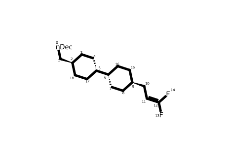 CCCCCCCCCCC[C@H]1CC[C@H]([C@H]2CC[C@H](CC=C(F)F)CC2)CC1